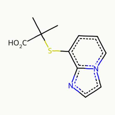 CC(C)(Sc1cccn2ccnc12)C(=O)O